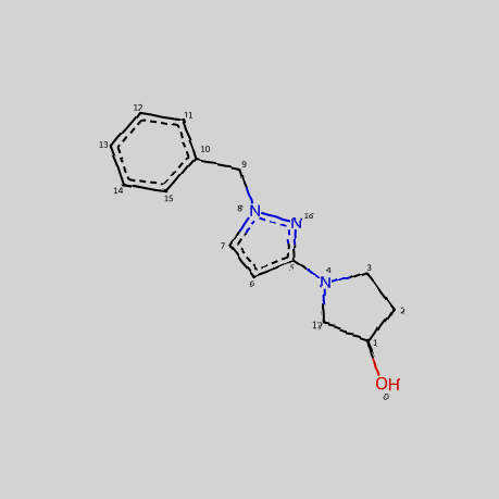 OC1CCN(c2ccn(Cc3ccccc3)n2)C1